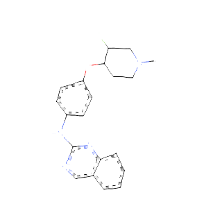 CN1CCC(Oc2ccc(Nc3ncc4ccccc4n3)cc2)C(F)C1